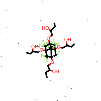 CCC(O)COC12C(F)(F)C3(OCC(O)CC)C(F)(F)C(OCC(O)CC)(C1(F)F)C(F)(F)C(OCC(O)CC)(C2(F)F)C3(F)F